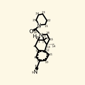 CC1(C)[C@H]2Cc3cc(C#N)ccc3[C@]1(C)CCN2C(=O)N1CCCCC1